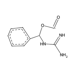 N=C(N)NC(O[C]=O)c1ccccc1